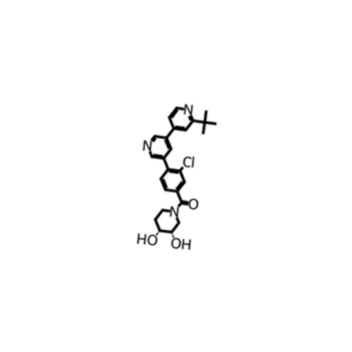 CC(C)(C)c1cc(-c2cncc(-c3ccc(C(=O)N4CC[C@@H](O)[C@@H](O)C4)cc3Cl)c2)ccn1